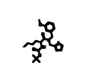 [CH2]CCC[C@H](NC(=O)OC(C)(C)C)C(=O)N(Cc1cccc(OC)c1)Cc1cccs1